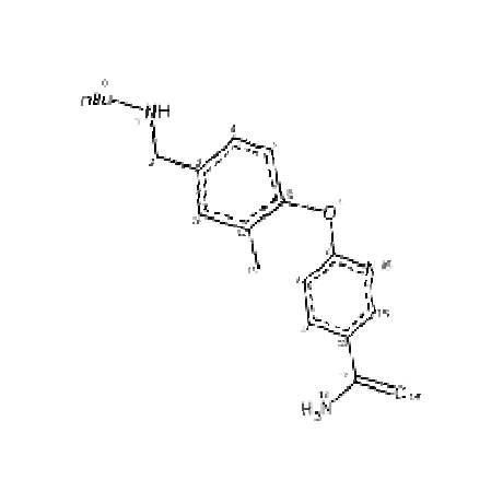 CCCCNCc1ccc(Oc2ccc(C(N)=O)cn2)c(C)c1